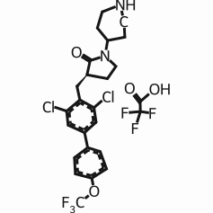 O=C(O)C(F)(F)F.O=C1[C@H](Cc2c(Cl)cc(-c3ccc(OC(F)(F)F)cc3)cc2Cl)CCN1C1CCNCC1